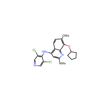 CNc1cc(Nc2c(Cl)cncc2Cl)c2ccc(OC)c(OC3CCCC3)c2n1